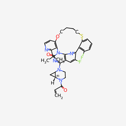 C=CC(=O)N1CCN(c2nc(=O)n3c4nc(c(F)cc24)-c2c(F)cccc2SCCCCOc2ccnc(C(C)C)c2-3)C2C[C@H]21